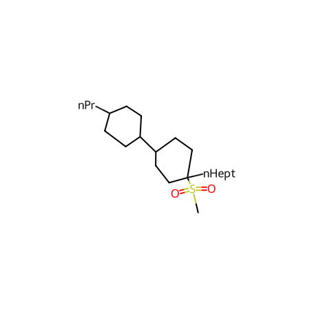 CCCCCCCC1(S(C)(=O)=O)CCC(C2CCC(CCC)CC2)CC1